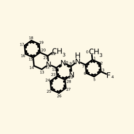 Cc1cc(F)ccc1Nc1nc(N2CCc3ccccc3C2C)c2ccccc2n1